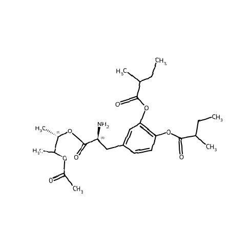 CCC(C)C(=O)Oc1ccc(C[C@H](N)C(=O)O[C@@H](C)C(C)OC(C)=O)cc1OC(=O)C(C)CC